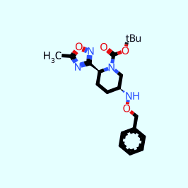 Cc1nc([C@@H]2CC[C@@H](NOCc3ccccc3)CN2C(=O)OC(C)(C)C)no1